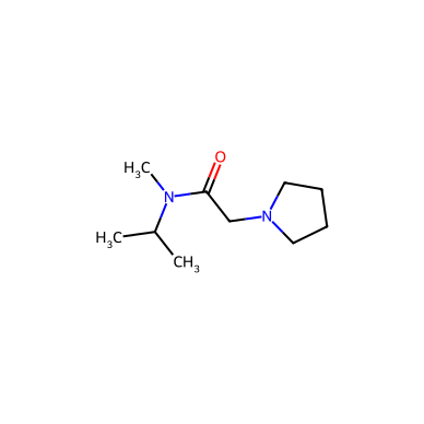 CC(C)N(C)C(=O)CN1CCCC1